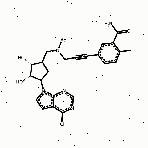 CC(=O)N(CC#Cc1ccc(C)c(C(N)=O)c1)CC1C[C@@H](n2ccc3c(Cl)ncnc32)[C@H](O)[C@@H]1O